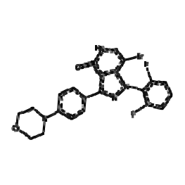 O=c1[nH]cc(Br)c2c1c(-c1ccc(N3CCOCC3)cc1)nn2-c1c(F)cccc1F